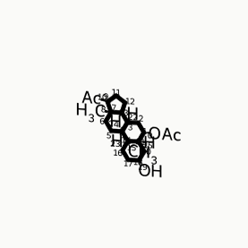 CC(=O)O[C@H]1C[C@@H]2[C@H](CC[C@]3(C)[C@@H](C(C)=O)CC[C@@H]23)[C@@]2(C)CC[C@H](O)C[C@H]12